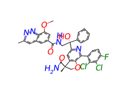 COc1cc(C(=O)NC[C@@](O)(c2ccccc2)c2cc3c(c(-c4ccc(F)c(Cl)c4Cl)n2)OC[C@]3(C)C(N)=O)cc2cc(C)nnc12